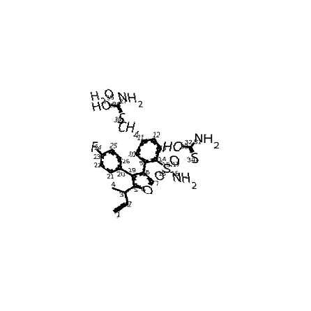 C.C=CC(C)c1occ(-c2ccccc2S(N)(=O)=O)c1-c1ccc(F)cc1.NC(O)=S.NC(O)=S.O